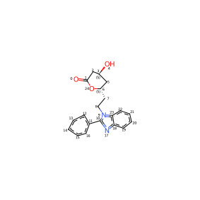 O=C1C[C@@H](O)C[C@H](CCn2c(-c3ccccc3)nc3ccccc32)O1